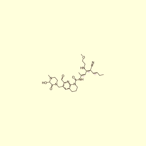 CC/C=C/C(C#N)=C(\C=C(/C)NC(=O)N1CCCc2cc(CN3CCN(C)C(O)C3=O)c(C=O)nc21)NCCOC